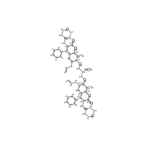 C=CCc1cc2c(-c3ccccc3)c(CN3CCOCC3)c(=O)oc2c(C)c1OCCCOc1c(CC=C)cc2c(-c3ccccc3)c(CN3CCOCC3)c(=O)oc2c1C.Cl